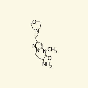 CN1C(=O)C(N)CCn2nc(CCN3CCOCC3)cc21